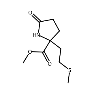 COC(=O)C1(CCSC)CCC(=O)N1